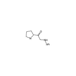 CCCNCC(=O)C1CCC[N]1